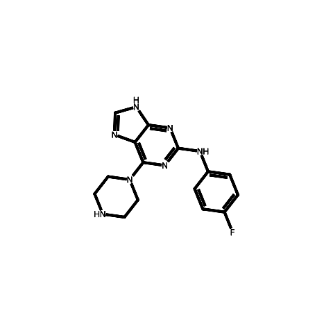 Fc1ccc(Nc2nc(N3CCNCC3)c3nc[nH]c3n2)cc1